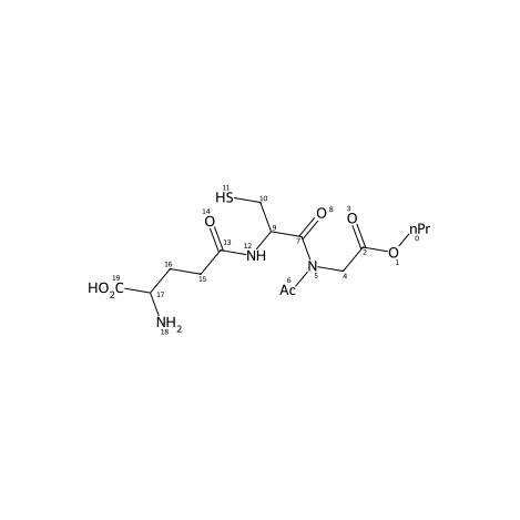 CCCOC(=O)CN(C(C)=O)C(=O)C(CS)NC(=O)CCC(N)C(=O)O